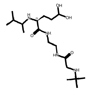 CC(C)C(C)N[C@@H](CCC(O)O)C(=O)NCCNC(=O)CNC(C)(C)C